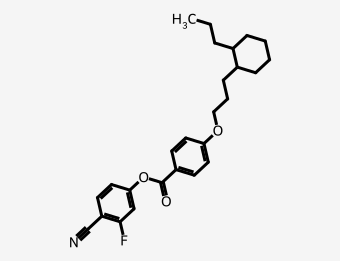 CCCC1CCCCC1CCCOc1ccc(C(=O)Oc2ccc(C#N)c(F)c2)cc1